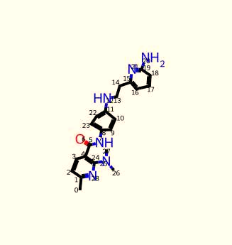 Cc1ccc(C(=O)Nc2ccc(NCCc3cccc(N)n3)cc2)c(N(C)C)n1